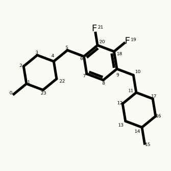 CC1CCC(Cc2ccc(CC3CCC(C)CC3)c(F)c2F)CC1